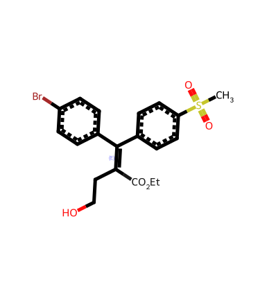 CCOC(=O)/C(CCO)=C(/c1ccc(Br)cc1)c1ccc(S(C)(=O)=O)cc1